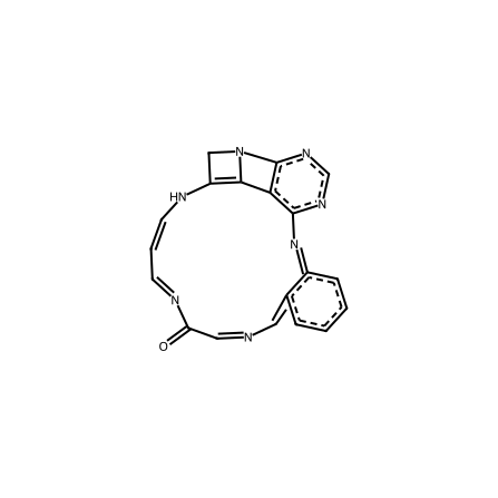 O=C1\C=N/C=c2\cccc\c2=N/c2ncnc3c2C2=C(CN23)N/C=C\C=N\1